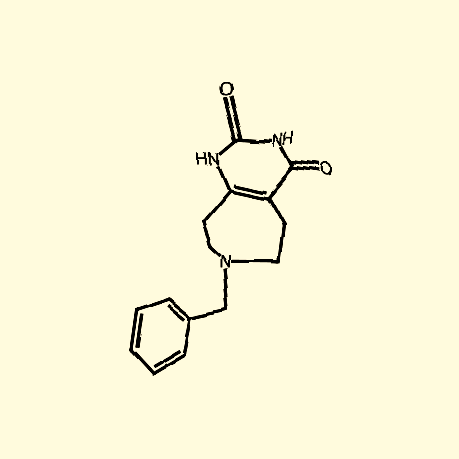 O=c1[nH]c2c(c(=O)[nH]1)CCN(Cc1ccccc1)CC2